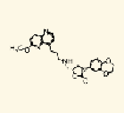 COc1ccc2nccc(CCCNC[C@@H]3CN(c4ccc5c(c4)OCCO5)C(=O)O3)c2n1